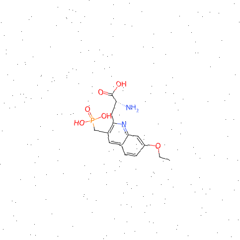 CCOc1ccc2cc(CP(=O)(O)O)c(C[C@@H](N)C(=O)O)nc2c1